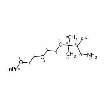 CCCOCCOCCOC(C)(C)C(F)CN